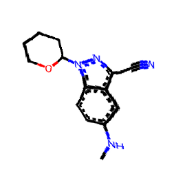 CNc1ccc2c(c1)c(C#N)nn2C1CCCCO1